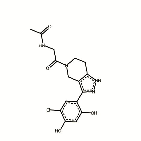 CC(=O)NCC(=O)N1CCc2[nH]nc(-c3cc(Cl)c(O)cc3O)c2C1